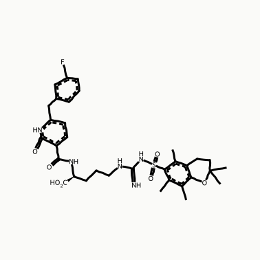 Cc1c(C)c(S(=O)(=O)NC(=N)NCCC[C@H](NC(=O)c2ccc(Cc3cccc(F)c3)[nH]c2=O)C(=O)O)c(C)c2c1OC(C)(C)CC2